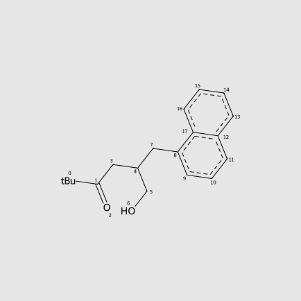 CC(C)(C)C(=O)CC(CO)Cc1cccc2ccccc12